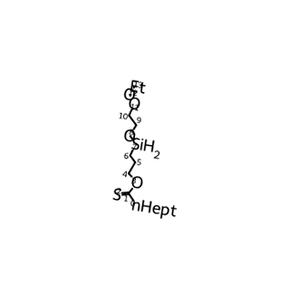 CCCCCCCC(=S)OCCC[SiH2]OCCOOCC